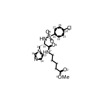 COC(=O)CCCCNC(=O)[C@H](Cn1ccnc1)NS(=O)(=O)c1ccc(Cl)cc1